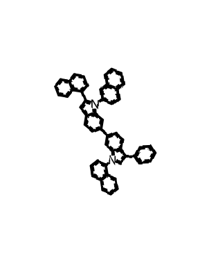 c1ccc(-c2cn(-c3cccc4ccccc34)c3cc(-c4ccc5cc(-c6cccc7ccccc67)n(-c6ccc7ccccc7c6)c5c4)ccc23)cc1